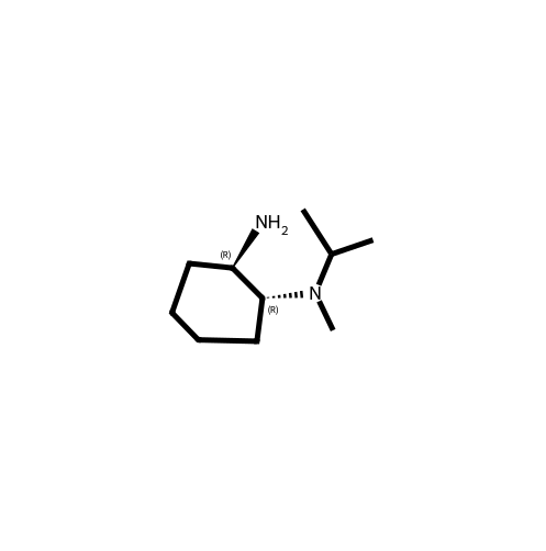 CC(C)N(C)[C@@H]1CCCC[C@H]1N